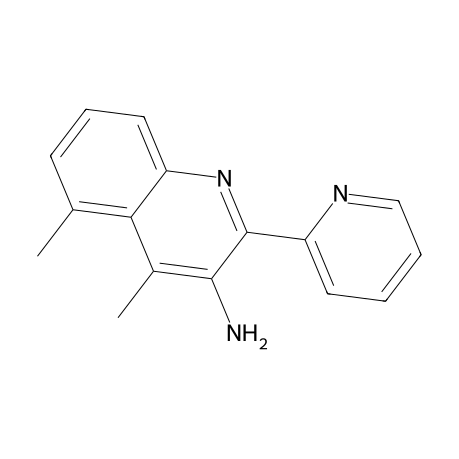 Cc1cccc2nc(-c3ccccn3)c(N)c(C)c12